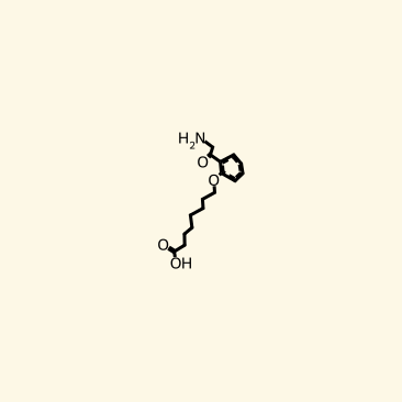 NCC(=O)c1ccccc1OCCCCCCCC(=O)O